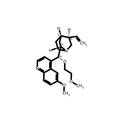 C=C[C@H]1CN2CC[C@H]1C[C@H]2[C@H](OCCOC)c1ccnc2ccc(OC)cc12